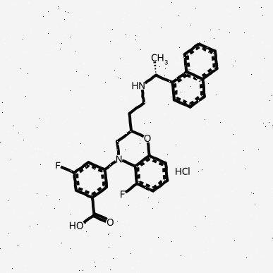 C[C@@H](NCCC1CN(c2cc(F)cc(C(=O)O)c2)c2c(F)cccc2O1)c1cccc2ccccc12.Cl